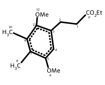 CCOC(=O)CCc1cc(OC)c(C)c(C)c1OC